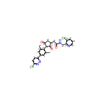 Cc1cc(-c2ccc(Cl)nn2)cc(C)c1C1C(=O)CC(CC(=O)NCc2ncccc2Cl)C1=O